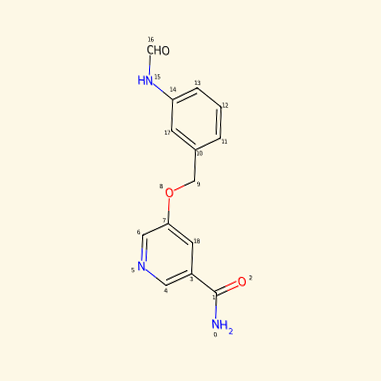 NC(=O)c1cncc(OCc2cccc(NC=O)c2)c1